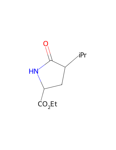 CCOC(=O)C1CC(C(C)C)C(=O)N1